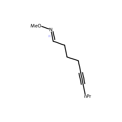 [CH2]CCC#CCCC/C=N/OC